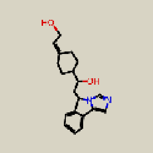 OCC=C1CCC(C(O)CC2c3ccccc3-c3cncn32)CC1